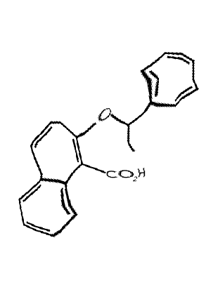 CC(Oc1ccc2ccccc2c1C(=O)O)c1ccccc1